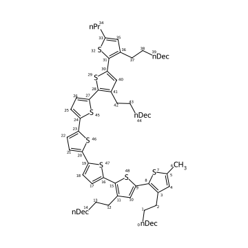 CCCCCCCCCCCCc1cc(C)sc1-c1cc(CCCCCCCCCCCC)c(-c2ccc(-c3ccc(-c4ccc(-c5sc(-c6sc(CCC)cc6CCCCCCCCCCCC)cc5CCCCCCCCCCCC)s4)s3)s2)s1